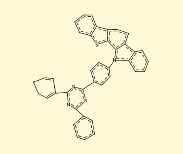 C1=CC(c2nc(-c3ccccc3)nc(-c3ccc(-n4c5ccccc5c5ccc6c7ccccc7sc6c54)cc3)n2)=CCC1